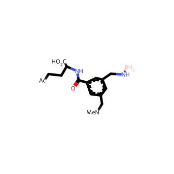 BNCc1cc(CNC)cc(C(=O)NC(CCC(C)=O)C(=O)O)c1